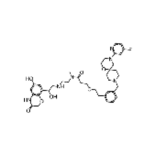 CN(CCNCC(O)c1cc(O)cc2c1OCC(=O)N2)C(=O)CCOCCc1cccc(CN2CCC3(CC2)CN(c2cc(F)ccn2)CCO3)c1